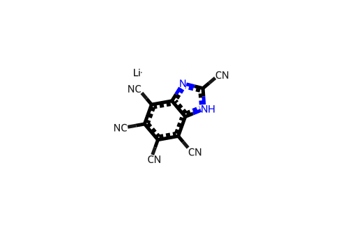 N#Cc1nc2c(C#N)c(C#N)c(C#N)c(C#N)c2[nH]1.[Li]